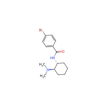 CN(C)[C@@H]1CCCC[C@H]1NC(=O)c1ccc(Br)cc1